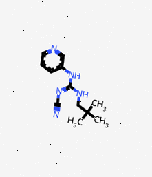 CC(C)(C)CNC(=NC#N)Nc1cccnc1